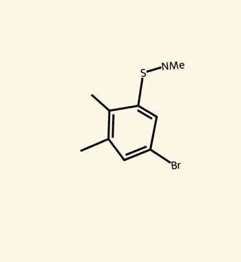 CNSc1cc(Br)cc(C)c1C